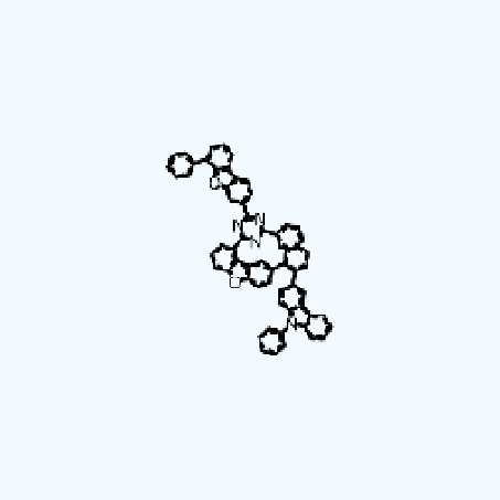 c1ccc(-c2nc(-c3ccc4c(c3)oc3c(-c5ccccc5)cccc34)nc(-c3cccc4oc5ccc(-c6ccccc6-c6ccc7c(c6)c6ccccc6n7-c6ccccc6)cc5c34)n2)cc1